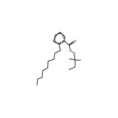 CCCCCCCCCc1ccccc1C(=O)OOC(C)(C)CC